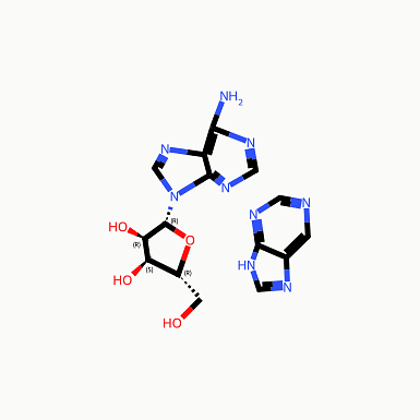 Nc1ncnc2c1ncn2[C@@H]1O[C@H](CO)[C@@H](O)[C@H]1O.c1ncc2nc[nH]c2n1